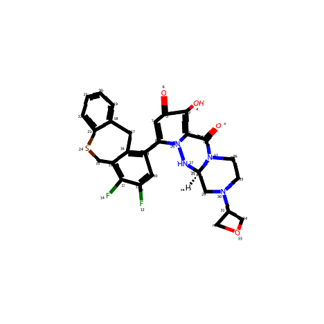 O=C1c2c(O)c(=O)cc(-c3cc(F)c(F)c4c3Cc3ccccc3SC4)n2N[C@@H]2CN(C3COC3)CCN12